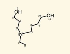 CCN(CCCO)CCCCO